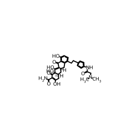 CN(C)CC(=O)Nc1ccc(CCc2ccc(O)c3c2C[C@H]2C[C@H]4CC(O)=C(C(N)=O)C(=O)[C@@]4(O)C(O)=C2C3=O)cc1